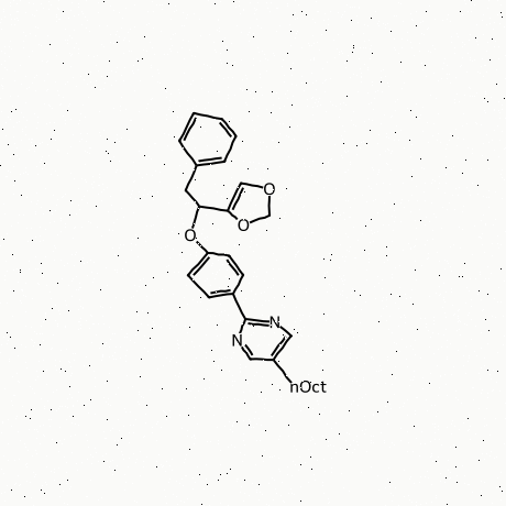 CCCCCCCCc1cnc(-c2ccc(OC(Cc3ccccc3)C3=COCO3)cc2)nc1